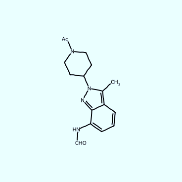 CC(=O)N1CCC(n2nc3c(NC=O)cccc3c2C)CC1